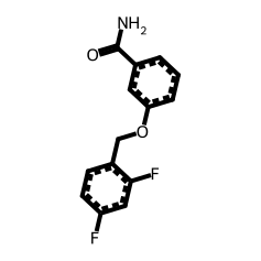 NC(=O)c1cccc(OCc2ccc(F)cc2F)c1